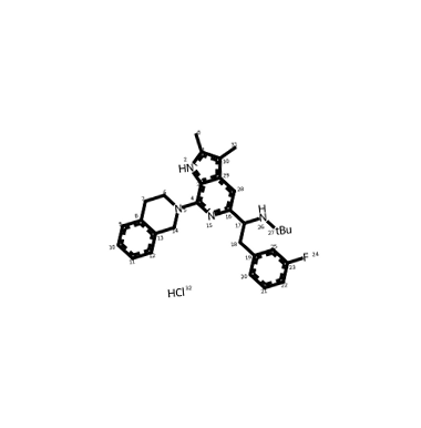 Cc1[nH]c2c(N3CCc4ccccc4C3)nc(C(Cc3cccc(F)c3)NC(C)(C)C)cc2c1C.Cl